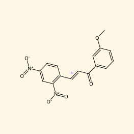 COc1cccc(C(=O)/C=C/c2ccc([N+](=O)[O-])cc2[N+](=O)[O-])c1